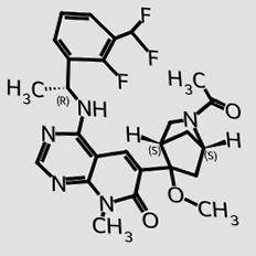 COC1(c2cc3c(N[C@H](C)c4cccc(C(F)F)c4F)ncnc3n(C)c2=O)C[C@@H]2C[C@H]1CN2C(C)=O